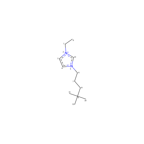 CC[n+]1ccn(CCCC(C)(C)C)c1